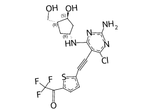 Nc1nc(Cl)c(C#Cc2ccc(C(=O)C(F)(F)F)s2)c(N[C@@H]2C[C@H](CO)[C@@H](O)C2)n1